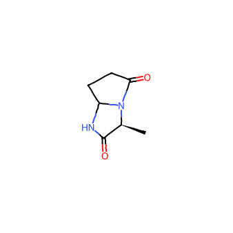 C[C@H]1C(=O)NC2CCC(=O)N21